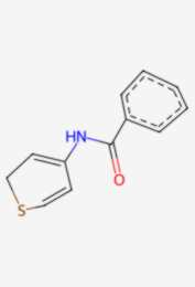 O=C(NC1=CCSC=C1)c1ccccc1